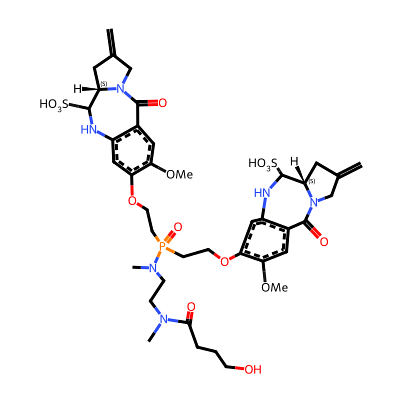 C=C1C[C@H]2C(S(=O)(=O)O)Nc3cc(OCCP(=O)(CCOc4cc5c(cc4OC)C(=O)N4CC(=C)C[C@H]4C(S(=O)(=O)O)N5)N(C)CCN(C)C(=O)CCCO)c(OC)cc3C(=O)N2C1